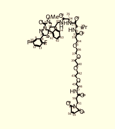 CON(C)C(=O)N1N=C(c2cc(F)ccc2F)S[C@@]1(CCCNC(=O)[C@H](C)NC(=O)[C@@H](NC(=O)CCOCCOCCOCCOCCNC(=O)CCN1C(=O)C=CC1=O)C(C)C)c1ccccc1